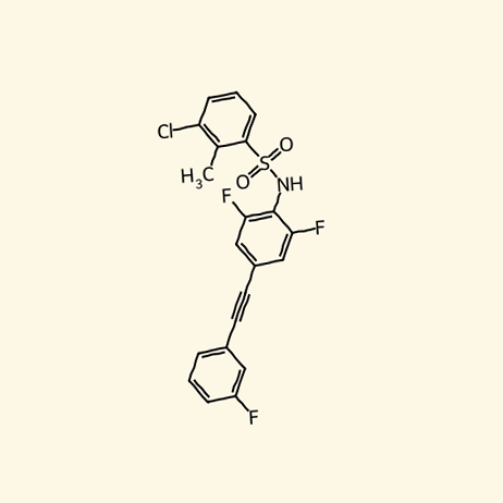 Cc1c(Cl)cccc1S(=O)(=O)Nc1c(F)cc(C#Cc2cccc(F)c2)cc1F